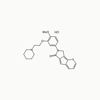 COc1ccc(N2Cc3c(cc4cccsc3-4)C2=O)cc1OCCN1CCCCC1.Cl